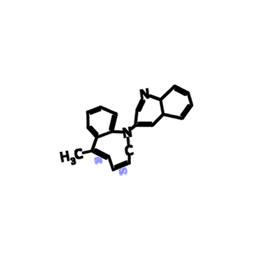 C/C1=C\C=C/CN(C2=CC3C=CC=CC3N=C2)c2ccccc21